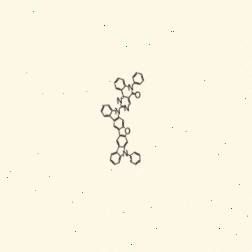 O=c1c2cnc(-n3c4ccccc4c4cc5c(cc43)oc3cc4c(cc35)c3ccccc3n4-c3ccccc3)nc2c2ccccc2n1-c1ccccc1